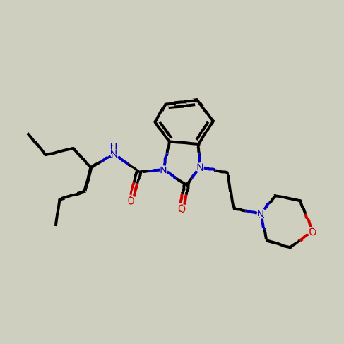 CCCC(CCC)NC(=O)n1c(=O)n(CCN2CCOCC2)c2ccccc21